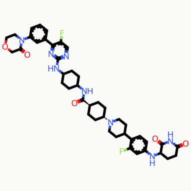 O=C1CCC(Nc2ccc(C3CCN([C@H]4CC[C@H](C(=O)NC5CCC(Nc6ncc(F)c(-c7cccc(N8CCOCC8=O)c7)n6)CC5)CC4)CC3)c(F)c2)C(=O)N1